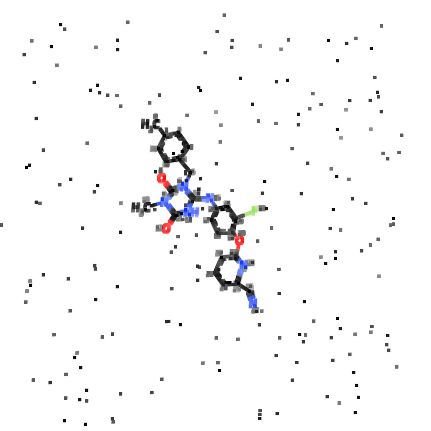 Cc1ccc(Cn2c(=O)n(C)c(=O)[nH]/c2=N\c2ccc(Oc3cccc(C#N)n3)c(F)c2)cc1